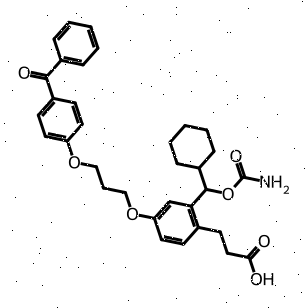 NC(=O)OC(c1cc(OCCCOc2ccc(C(=O)c3ccccc3)cc2)ccc1CCC(=O)O)C1CCCCC1